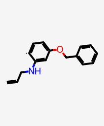 C=CCNc1[c]ccc(OCc2ccccc2)c1